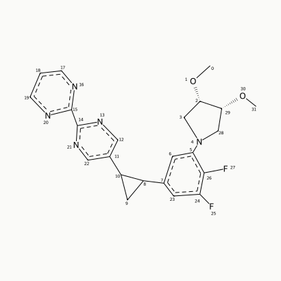 CO[C@H]1CN(c2cc(C3CC3c3cnc(-c4ncccn4)nc3)cc(F)c2F)C[C@H]1OC